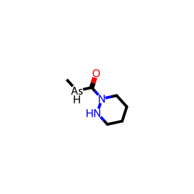 C[AsH]C(=O)N1CCCCN1